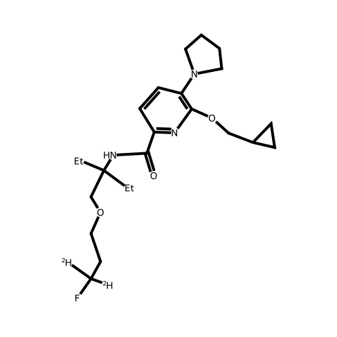 [2H]C([2H])(F)CCOCC(CC)(CC)NC(=O)c1ccc(N2CCCC2)c(OCC2CC2)n1